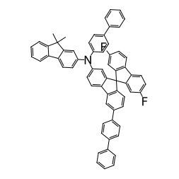 CC1(C)c2ccccc2-c2ccc(N(c3ccc(-c4ccccc4)cc3)c3ccc4c(c3)C3(c5ccc(-c6ccc(-c7ccccc7)cc6)cc5-4)c4cc(F)ccc4-c4ccc(F)cc43)cc21